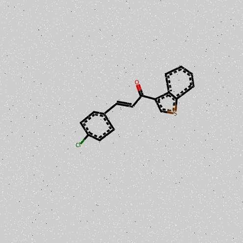 O=C(C=Cc1ccc(Cl)cc1)c1csc2ccccc12